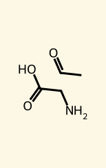 CC=O.NCC(=O)O